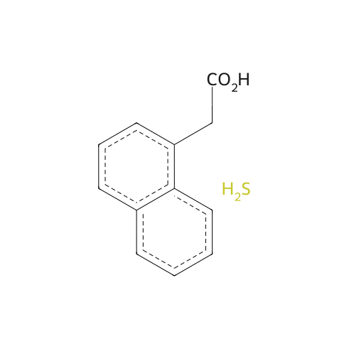 O=C(O)Cc1cccc2ccccc12.S